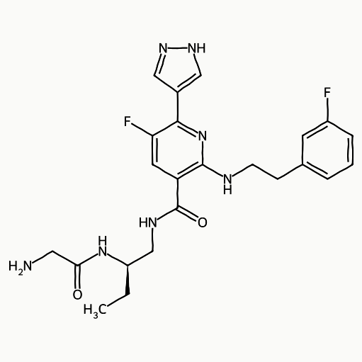 CC[C@H](CNC(=O)c1cc(F)c(-c2cn[nH]c2)nc1NCCc1cccc(F)c1)NC(=O)CN